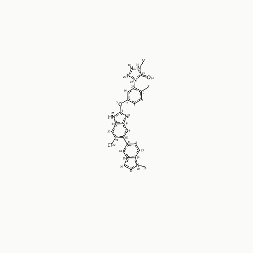 Cc1ccc(Oc2nc3cc(-c4ccc5c(ccn5C)c4)c(Cl)cc3[nH]2)cc1-n1nnn(C)c1=O